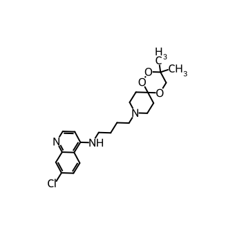 CC1(C)COC2(CCN(CCCCNc3ccnc4cc(Cl)ccc34)CC2)OO1